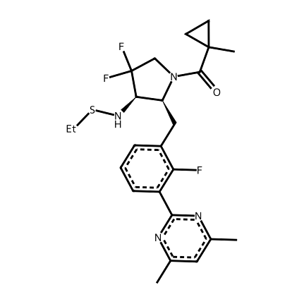 CCSN[C@@H]1[C@H](Cc2cccc(-c3nc(C)cc(C)n3)c2F)N(C(=O)C2(C)CC2)CC1(F)F